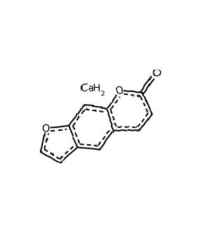 O=c1ccc2cc3ccoc3cc2o1.[CaH2]